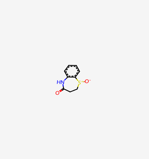 O=C1CC[S+]([O-])c2ccccc2N1